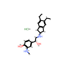 CCc1cc2c(cc1CC)CC(NC[C@H](O)c1ccc(O)c(NC)c1)C2.Cl